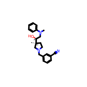 CN(C[C@H](O)[C@@]1(C)CCN(Cc2cccc(C#N)c2)C1)c1ccccc1